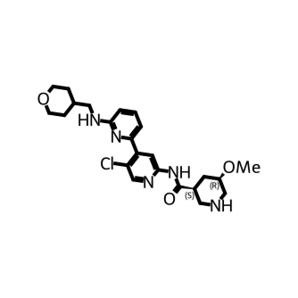 CO[C@H]1CNC[C@@H](C(=O)Nc2cc(-c3cccc(NCC4CCOCC4)n3)c(Cl)cn2)C1